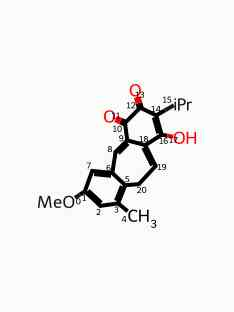 COc1cc(C)c2c(c1)C=C1C(=O)C(=O)C(C(C)C)=C(O)C1=CC2